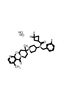 Cc1ccnc(C)c1C(=O)N1CCC(C)(N2CCC(N(Cc3cccc(F)c3)C(=O)C3CC(F)(F)C3)CC2)CC1.Cl.Cl